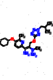 Cc1nc(/C(N)=C(\COc2nnn(CC(C)C)n2)N(C)N)ccc1OC1CCCCC1